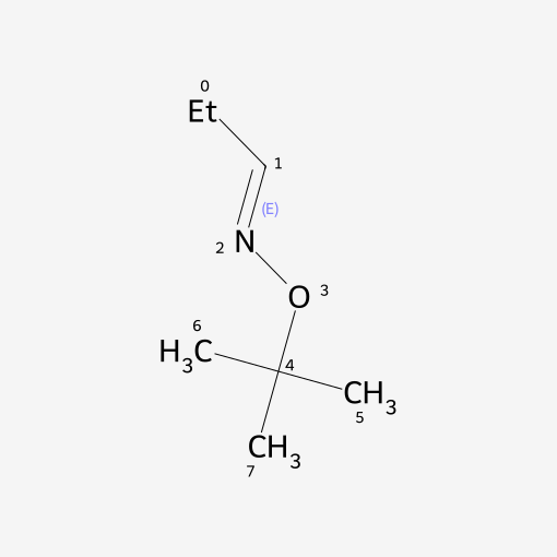 CC/C=N/OC(C)(C)C